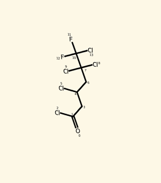 O=C(Cl)CC(Cl)CC(Cl)(Cl)C(F)(F)Cl